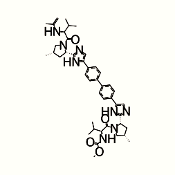 C=C(C)N[C@H](C(=O)N1C[C@@H](C)C[C@H]1c1ncc(-c2ccc(-c3ccc(-c4cnc([C@@H]5C[C@H](C)CN5C(=O)[C@@H](NC(=O)OC)C(C)C)[nH]4)cc3)cc2)[nH]1)C(C)C